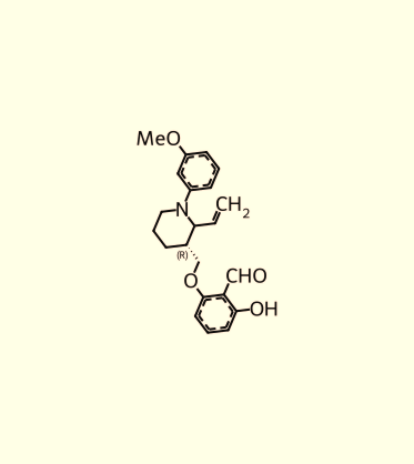 C=CC1[C@H](COc2cccc(O)c2C=O)CCCN1c1cccc(OC)c1